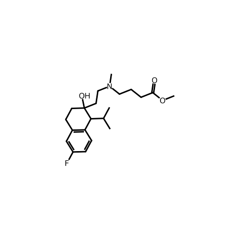 COC(=O)CCCN(C)CCC1(O)CCc2cc(F)ccc2C1C(C)C